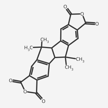 CC1(C)c2cc3c(cc2C2C1c1cc4c(cc1C2(C)C)C(=O)OC4=O)C(=O)OC3=O